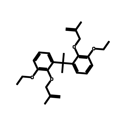 C=C(C)COc1c(OCC)cccc1C(C)(C)c1cccc(OCC)c1OCC(=C)C